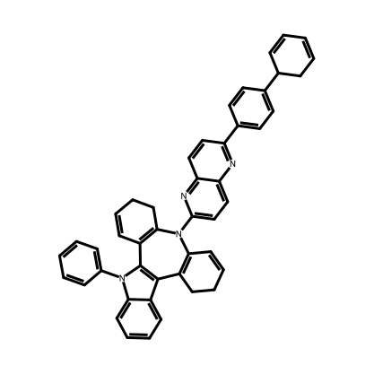 C1=CCC(c2ccc(-c3ccc4nc(N5C6=C(CCC=C6)c6c(n(-c7ccccc7)c7ccccc67)C6=C5CCC=C6)ccc4n3)cc2)C=C1